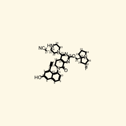 C#Cc1cc(O)cc2cccc(N3CCc4c(nc(OC[C@@]56CCCN5C[C@H](F)C6)nc4N4CCN[C@@H](CC#N)C4)C3=O)c12